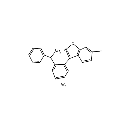 Cl.NC(c1ccccc1)c1ccccc1-c1noc2cc(F)ccc12